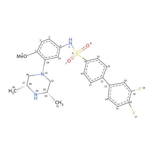 COc1ccc(NS(=O)(=O)c2ccc(-c3ccc(F)c(F)c3)cc2)cc1N1C[C@@H](C)N[C@@H](C)C1